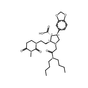 CCCCN(CCCC)C(=O)CN1C[C@H](c2ccc3c(c2)OCO3)[C@@H](C(=O)O)[C@@H]1CCN1CCC(=O)N(C)C1=O